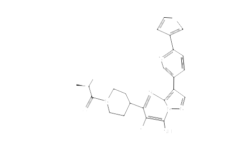 C[C@@H](O)C(=O)N1CCC(c2nc3c(-c4ccc(-c5ccsc5)nc4)cnn3c(N)c2Br)CC1